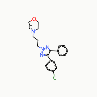 Clc1ccc(-c2nn(CCCN3CCOCC3)nc2-c2ccccc2)cc1